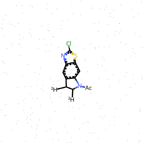 [2H]C1c2cc3nc(Cl)sc3cc2N(C(C)=O)C1[2H]